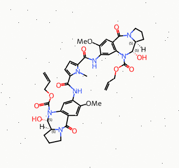 C=CCOC(=O)N1c2cc(NC(=O)c3ccc(C(=O)Nc4cc5c(cc4OC)C(=O)N4CCC[C@H]4[C@H](O)N5C(=O)OCC=C)n3C)c(OC)cc2C(=O)N2CCC[C@H]2[C@@H]1O